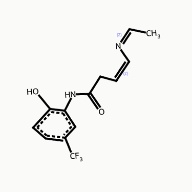 C/C=N\C=C/CC(=O)Nc1cc(C(F)(F)F)ccc1O